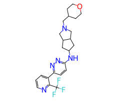 FC(F)(F)c1ncccc1-c1ccc(NC2CC3CN(CC4CCOCC4)CC3C2)nn1